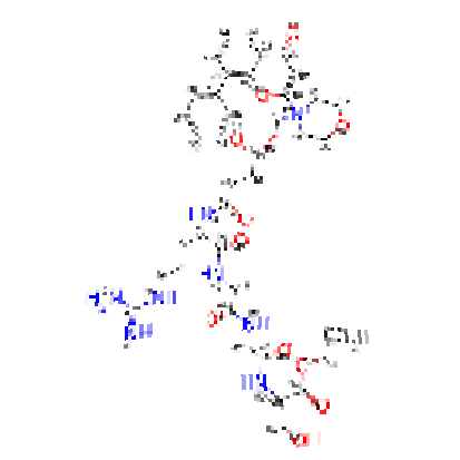 N=C(N)NCCCC(NC(=O)CCC(=O)OC[N+]1(c2cc(=O)c3cccc(-c4ccccc4)c3o2)CCOCC1)C(=O)NCC(=O)NCC(=O)NC(CO)C(=O)OCC(=O)O